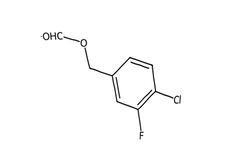 O=[C]OCc1ccc(Cl)c(F)c1